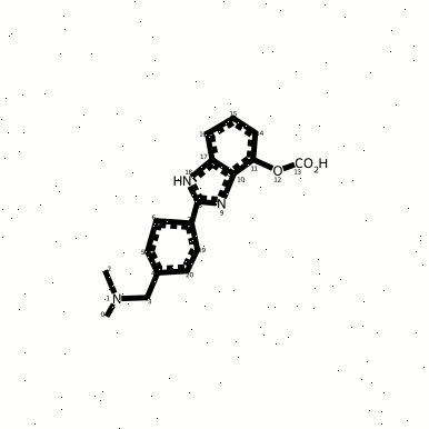 CN(C)Cc1ccc(-c2nc3c(OC(=O)O)cccc3[nH]2)cc1